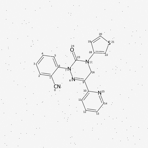 N#Cc1ccccc1N1N=C(c2ccccn2)CN(c2ccsc2)C1=O